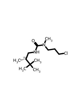 C[C@H](CNC(=O)N(C)CCCCl)C(C)(C)C